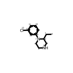 CCC1CNCCN1c1cccc(Cl)c1